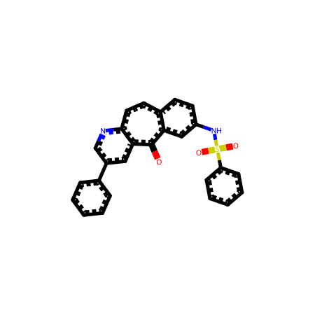 O=c1c2cc(NS(=O)(=O)c3ccccc3)ccc2ccc2ncc(-c3ccccc3)cc12